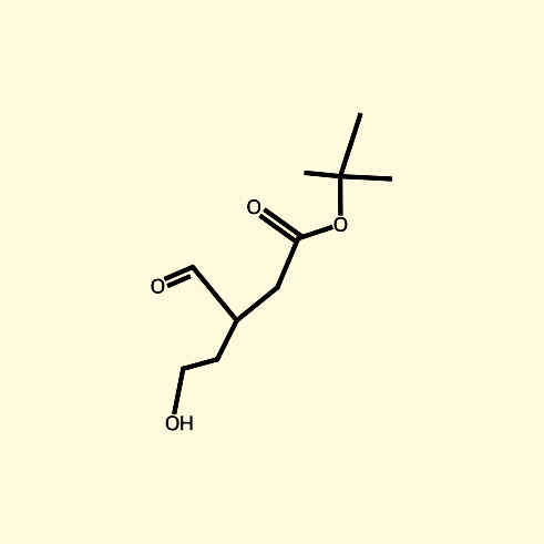 CC(C)(C)OC(=O)CC(C=O)CCO